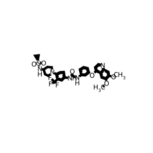 COc1cc2nccc(Oc3cccc(NC(=O)Nc4ccc(N5CCC(NS(=O)(=O)C6CC6)CC5)c(C(F)(F)F)c4)c3)c2cc1OC